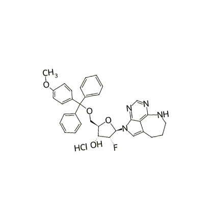 COc1ccc(C(OC[C@H]2O[C@@H](n3cc4c5c(ncnc53)NCCC4)[C@H](F)[C@@H]2O)(c2ccccc2)c2ccccc2)cc1.Cl